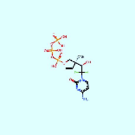 C=C[C@](COP(=O)(O)OP(=O)(O)OP(=O)(O)O)(OC)[C@@H](O)C(F)(F)n1ccc(N)nc1=O